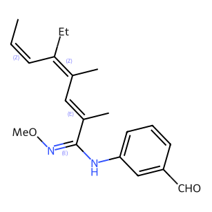 C\C=C/C(CC)=C(C)\C=C(C)\C(=N/OC)Nc1cccc(C=O)c1